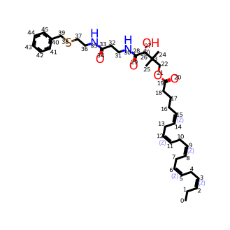 CC/C=C\C/C=C\C/C=C\C/C=C\C/C=C\CCCC(=O)OCC(C)(C)[C@@H](O)C(=O)NCCC(=O)NCCSCc1ccccc1